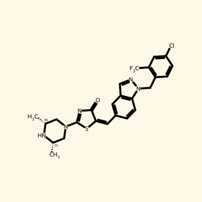 C[C@@H]1CN(C2=NC(=O)C(=Cc3ccc4c(cnn4Cc4ccc(Cl)cc4C(F)(F)F)c3)S2)C[C@H](C)N1